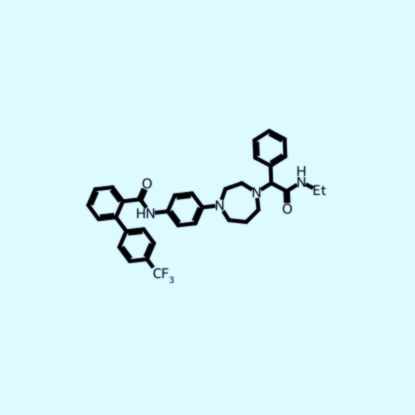 CCNC(=O)C(c1ccccc1)N1CCCN(c2ccc(NC(=O)c3ccccc3-c3ccc(C(F)(F)F)cc3)cc2)CC1